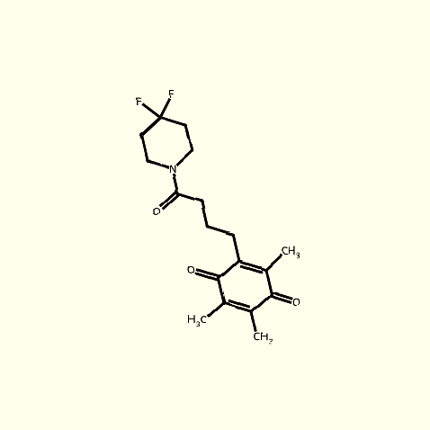 CC1=C(C)C(=O)C(CCCC(=O)N2CCC(F)(F)CC2)=C(C)C1=O